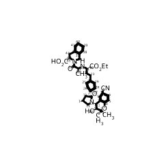 CC1(C)Oc2ccc(C#N)cc2[C@@H](N2CCCC2=O)[C@@H]1O.CCOC(=O)[C@H](CCc1ccccc1)N[C@@H](C)C(=O)N1Cc2ccccc2C[C@H]1C(=O)O